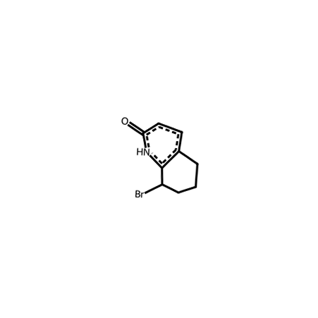 O=c1ccc2c([nH]1)C(Br)CCC2